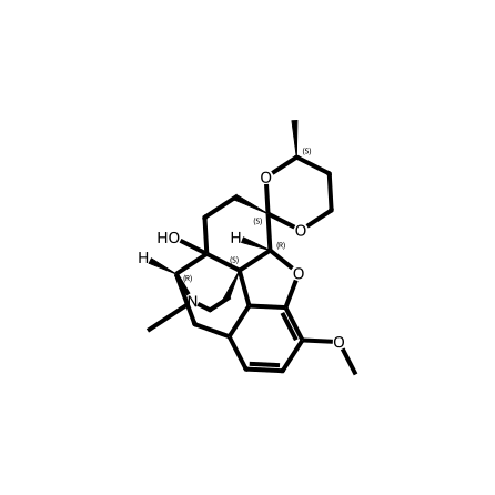 COC1=C2O[C@H]3[C@@]4(CCC5(O)[C@H]6CC(C=C1)C2[C@@]35CCN6C)OCC[C@H](C)O4